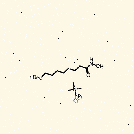 CCCCCCCCCCCCCCCCCC(=O)NO.CCC[N+](C)(C)C.[Cl-]